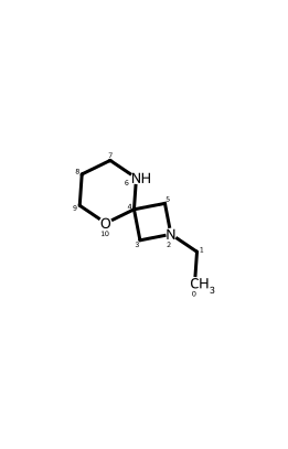 CCN1CC2(C1)NCCCO2